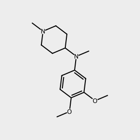 COc1ccc(N(C)C2CCN(C)CC2)cc1OC